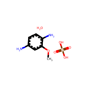 COc1cc(N)ccc1N.O.O=S(=O)(O)O